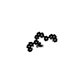 O=S(=O)(O)c1cc(-c2ccc3ccc4cccnc4c3n2)cc(-c2ccc3ccc4ccc(-c5cccc(-c6ccc7ccc8cccnc8c7n6)c5)nc4c3n2)c1